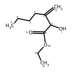 C=C(CCCC)C(O)C(=O)OCC